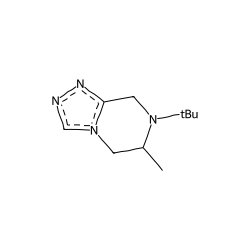 CC1Cn2cnnc2CN1C(C)(C)C